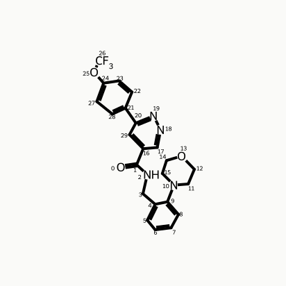 O=C(NCc1ccccc1N1CCOCC1)c1cnnc(-c2ccc(OC(F)(F)F)cc2)c1